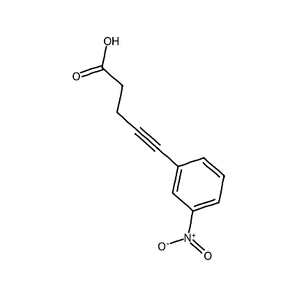 O=C(O)CCC#Cc1cccc([N+](=O)[O-])c1